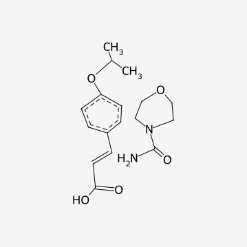 CC(C)Oc1ccc(/C=C/C(=O)O)cc1.NC(=O)N1CCOCC1